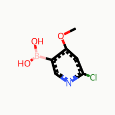 COc1cc(Cl)ncc1B(O)O